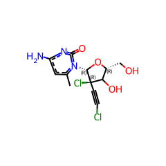 Cc1cc(N)nc(=O)n1[C@@H]1O[C@H](CO)C(O)[C@]1(Cl)C#CCl